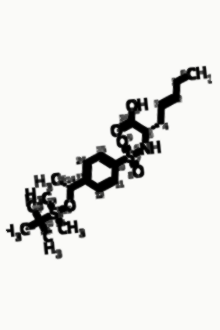 CCC=CC[C@H](NS(=O)(=O)c1ccc([C@@H](C)O[Si](C)(C)C(C)(C)C)cc1)C(=O)O